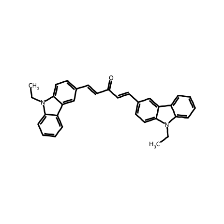 CCn1c2ccccc2c2cc(C=CC(=O)C=Cc3ccc4c(c3)c3ccccc3n4CC)ccc21